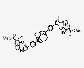 COC(=O)N[C@H](C(=O)N1CCC[C@H]1c1nc(-c2ccc(C3=CC4CCc5cc6c(cc5-c5ccc(-c7c[nH]c([C@@H]8CCCN8C(=O)[C@@H](NC(=O)OC)C(C)C)n7)cc5)CCC3[C@H]6C4)cc2)c[nH]1)C(C)C